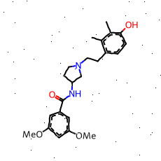 COc1cc(OC)cc(C(=O)NC2CCN(CCc3ccc(O)c(C)c3C)C2)c1